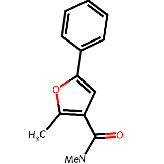 CNC(=O)c1cc(-c2ccccc2)oc1C